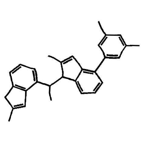 CC1=Cc2c(cccc2C(C)C2C(C)=Cc3c(-c4cc(C)cc(C)c4)cccc32)C1